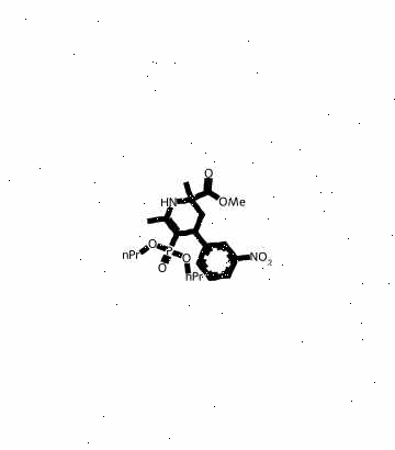 CCCOP(=O)(OCCC)C1=C(C)NC(C)(C(=O)OC)CC1c1cccc([N+](=O)[O-])c1